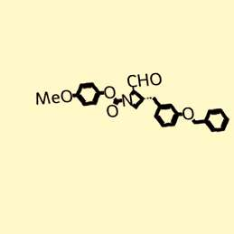 COc1ccc(OC(=O)N2C[C@@H](Cc3cccc(OCc4ccccc4)c3)[C@H]2C=O)cc1